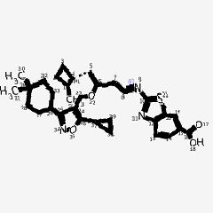 CC1CC[C@@H]1CC(C/C=N/c1nc2ccc(C(=O)O)cc2s1)OCc1c(C2CCC(C)(C)CC2)noc1C1CC1